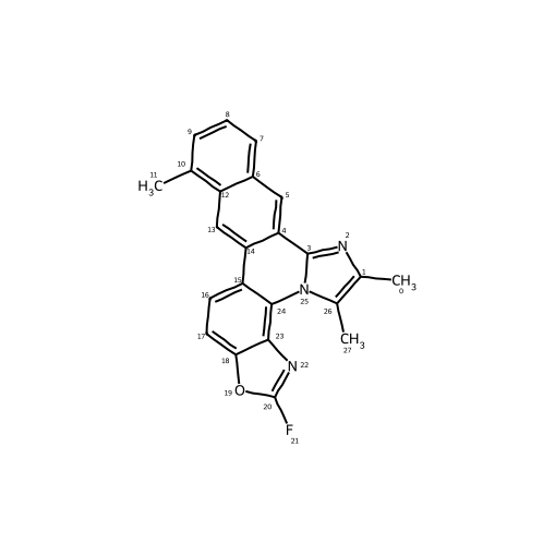 Cc1nc2c3cc4cccc(C)c4cc3c3ccc4oc(F)nc4c3n2c1C